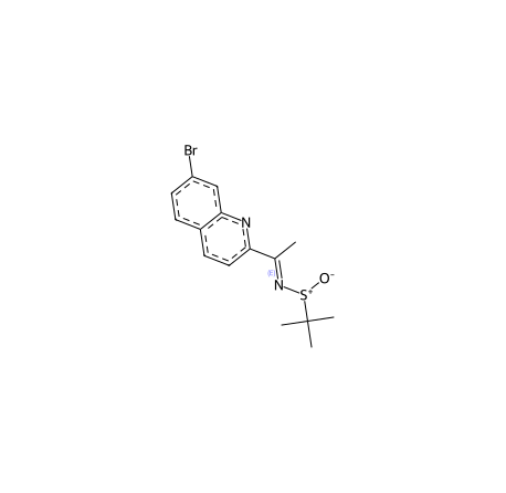 C/C(=N\[S+]([O-])C(C)(C)C)c1ccc2ccc(Br)cc2n1